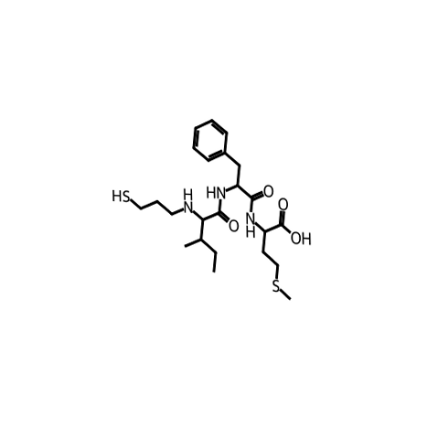 CCC(C)C(NCCCS)C(=O)NC(Cc1ccccc1)C(=O)NC(CCSC)C(=O)O